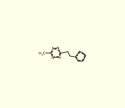 Cc1nnc(CCc2ccccc2)nn1